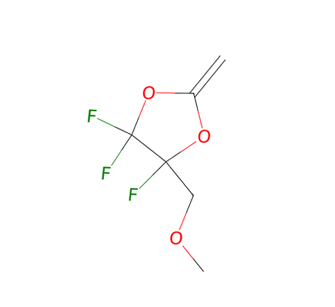 C=C1OC(F)(F)C(F)(COC)O1